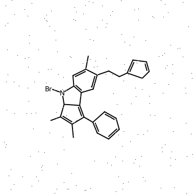 CC1=C(C)C2C(=C1c1ccccc1)c1cc(CCC3=CC=CC3)c(C)cc1N2Br